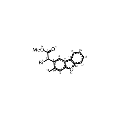 COC(=O)C(Br)c1cc2c(cc1C)oc1ccccc12